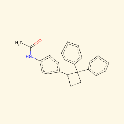 CC(=O)Nc1ccc(C2CCC2(c2ccccc2)c2ccccc2)cc1